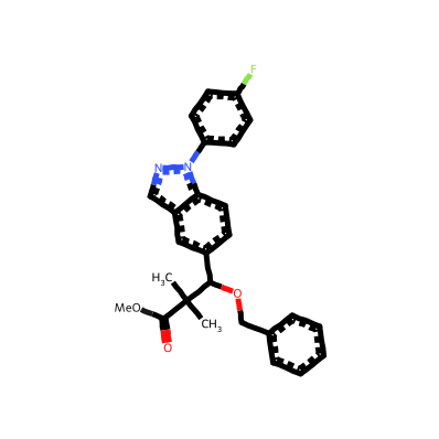 COC(=O)C(C)(C)C(OCc1ccccc1)c1ccc2c(cnn2-c2ccc(F)cc2)c1